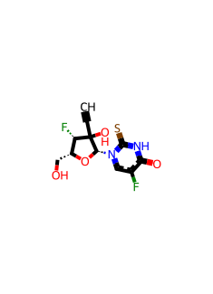 C#CC1(O)[C@@H](F)[C@@H](CO)O[C@H]1n1cc(F)c(=O)[nH]c1=S